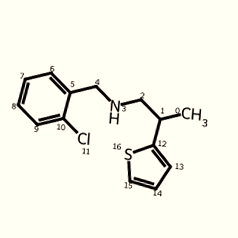 CC(CNCc1ccccc1Cl)c1cccs1